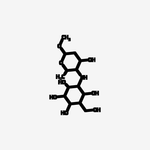 COC1CC(O)C(NC2C(O)C(O)C(O)C(CO)C2O)C(C)O1